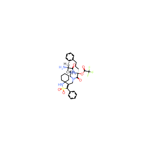 CCN(CC1=C(c2ccccc2)S(=O)(=O)NC12CCCCC2)C(=O)[C@@](CCCc1ccccc1)(NC(=O)C(C)(C)N)OC(=O)C(F)(F)F